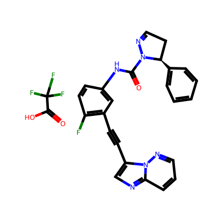 O=C(Nc1ccc(F)c(C#Cc2cnc3cccnn23)c1)N1N=CC[C@H]1c1ccccc1.O=C(O)C(F)(F)F